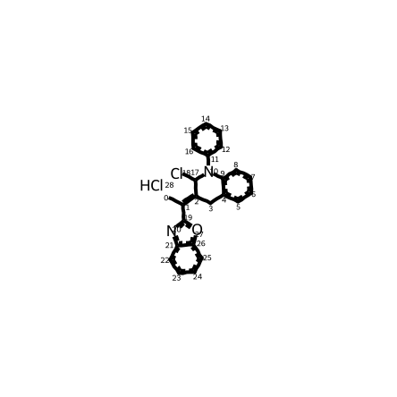 CC(=C1Cc2ccccc2N(c2ccccc2)C1Cl)c1nc2ccccc2o1.Cl